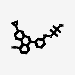 CC(C)(O)C(C)(C)OBc1cccc(-c2cc3cc(C4CC4)ccc3c3c(O)cccc23)c1